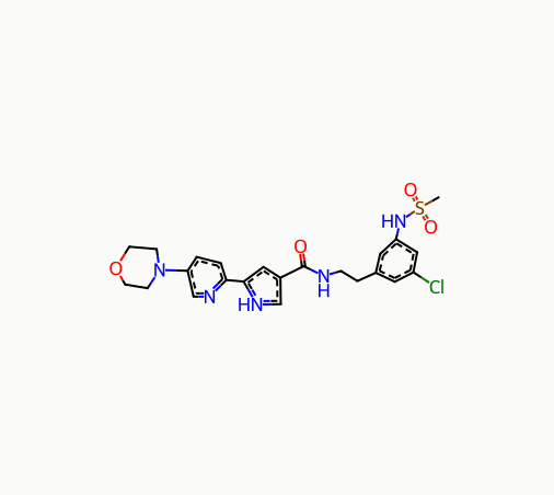 CS(=O)(=O)Nc1cc(Cl)cc(CCNC(=O)c2c[nH]c(-c3ccc(N4CCOCC4)cn3)c2)c1